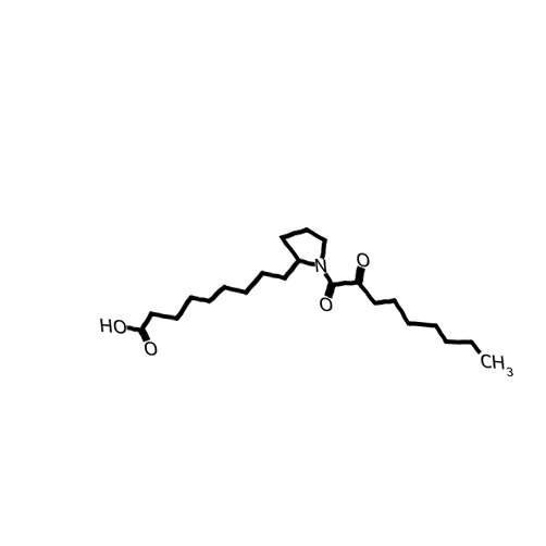 CCCCCCCC(=O)C(=O)N1CCCC1CCCCCCCCC(=O)O